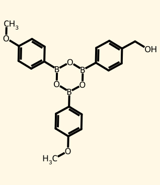 COc1ccc(B2OB(c3ccc(CO)cc3)OB(c3ccc(OC)cc3)O2)cc1